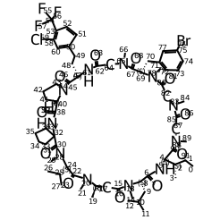 CC[C@H](C)[C@@H]1NC(=O)[C@H](CC(C)C)N(C)C(=O)C[C@@H](C)N(C)C(=O)[C@H](C(C)C)N(C)C(=O)C2(CCCC2)NC(=O)[C@@H]2CCCN2C(=O)[C@H](CCc2ccc(C(F)(F)F)c(Cl)c2)NC(=O)CN(C)C(=O)[C@H](Cc2cccc(Br)c2)N(C)C(=O)CN(C)C(=O)CN(C)C1=O